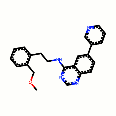 COCc1ccccc1CCNc1ncnc2ccc(-c3cccnc3)cc12